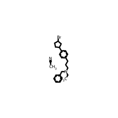 CC#N.CCN(CCCc1ccc(C2CCC(Br)C2)cc1)Cc1ccccc1